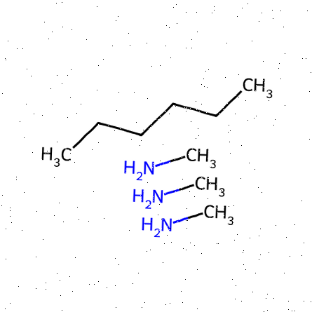 CCCCCC.CN.CN.CN